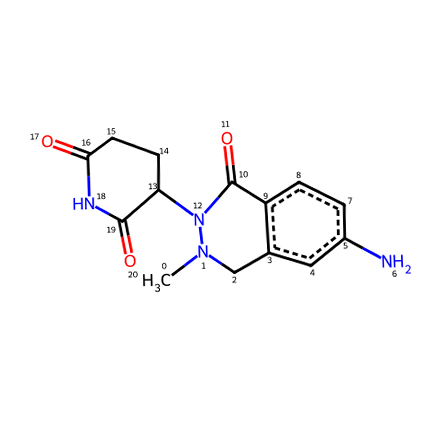 CN1Cc2cc(N)ccc2C(=O)N1C1CCC(=O)NC1=O